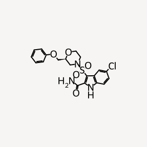 NC(=O)c1[nH]c2ccc(Cl)cc2c1S(=O)(=O)N1CCO[C@H](COc2ccccc2)C1